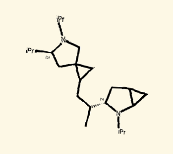 CC(C)[C@@H]1CC2(CC2CC(C)[C@@H]2CC3CC3N2C(C)C)CN1C(C)C